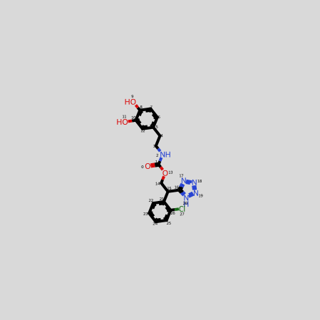 O=C(NCCc1ccc(O)c(O)c1)OCC(c1nnn[nH]1)c1ccccc1Cl